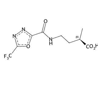 C[C@H](CCNC(=O)c1nnc(C(F)(F)F)o1)C(=O)O